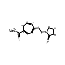 COC(=O)C1=CC=C(CCN2CCCC2=O)C=CC1